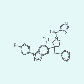 COc1cc2c(cnn2-c2ccc(F)cc2)cc1C1(Cc2ccccc2)CCN(C(=O)c2cncs2)C1